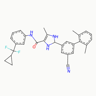 CC1=C(C(=O)Nc2cccc(C(F)(F)C3CC3)c2)NC(c2cc(C#N)cc(-c3c(C)cccc3C)c2)N1